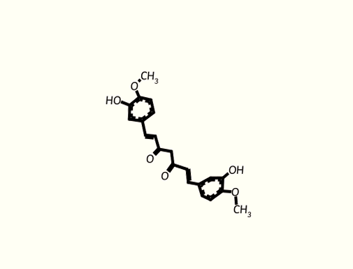 COc1ccc(/C=C/C(=O)CC(=O)/C=C/c2ccc(OC)c(O)c2)cc1O